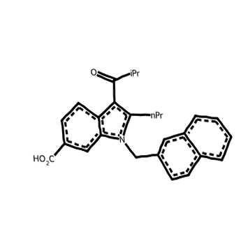 CCCc1c(C(=O)C(C)C)c2ccc(C(=O)O)cc2n1Cc1ccc2ccccc2c1